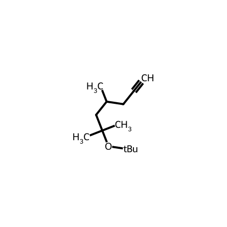 C#CCC(C)CC(C)(C)OC(C)(C)C